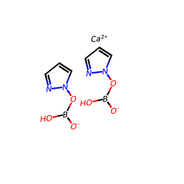 [Ca+2].[O-]B(O)On1cccn1.[O-]B(O)On1cccn1